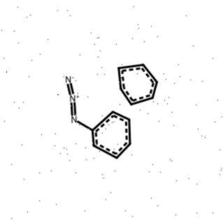 [N-]=[N+]=Nc1ccccc1.c1ccccc1